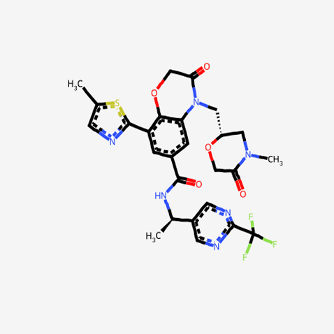 Cc1cnc(-c2cc(C(=O)N[C@H](C)c3cnc(C(F)(F)F)nc3)cc3c2OCC(=O)N3C[C@@H]2CN(C)C(=O)CO2)s1